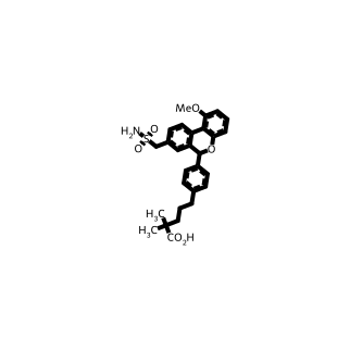 COc1cccc2c1-c1ccc(CS(N)(=O)=O)cc1C(c1ccc(CCCC(C)(C)C(=O)O)cc1)O2